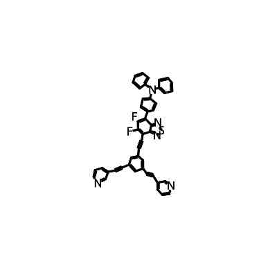 Fc1c(F)c(-c2ccc(N(c3ccccc3)c3ccccc3)cc2)c2nsnc2c1C#Cc1cc(C#Cc2cccnc2)cc(C#Cc2cccnc2)c1